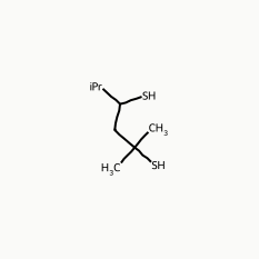 CC(C)C(S)CC(C)(C)S